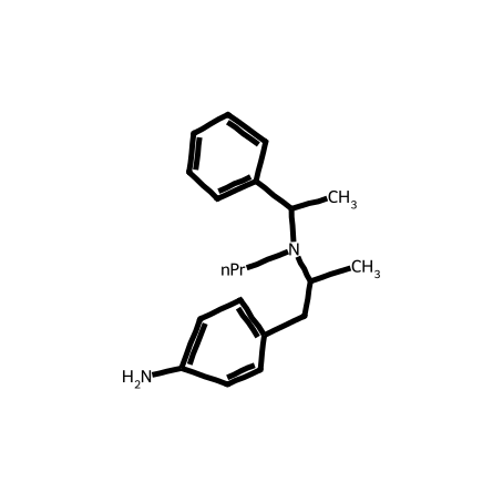 CCCN(C(C)Cc1ccc(N)cc1)C(C)c1ccccc1